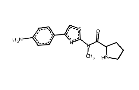 CN(C(=O)C1CCCN1)c1nc(-c2ccc(N)cc2)cs1